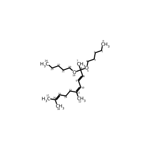 CCCCCOC(C)(C=CC=C(C)CCC=C(C)C)OCCCCC